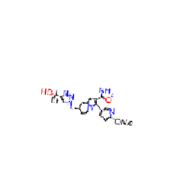 CCC(C)(O)c1cn(Cc2ccn3c(-c4ccc(OC)nc4)c(C(N)=O)cc3c2)nn1